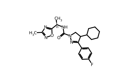 Cc1noc([C@@H](C)NC(=O)N2CC(C3CCCCC3)C(c3ccc(F)cc3)=N2)n1